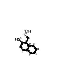 O/N=C/c1c(S)ccc2ccccc12